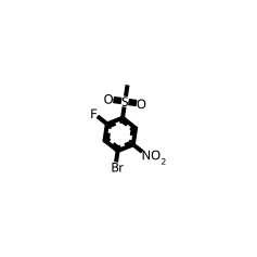 CS(=O)(=O)c1cc([N+](=O)[O-])c(Br)cc1F